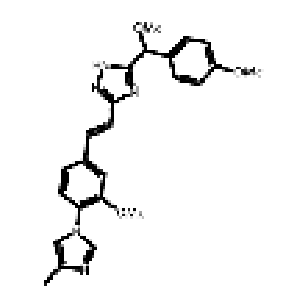 COc1ccc(C(OC)c2nc(/C=C/c3ccc(-n4cnc(C)c4)c(OC)c3)n[nH]2)cc1